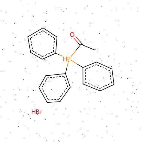 Br.CC(=O)[PH](c1ccccc1)(c1ccccc1)c1ccccc1